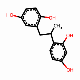 CC(Cc1cc(O)ccc1O)c1ccc(O)cc1O